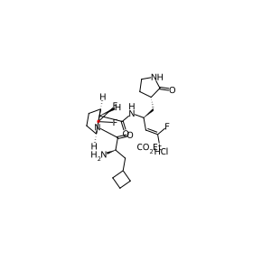 CCOC(=O)/C(F)=C/[C@H](C[C@@H]1CCNC1=O)NC(=O)[C@H]1[C@@H]2CC[C@@H](CC2(F)F)N1C(=O)[C@H](N)CC1CCC1.Cl